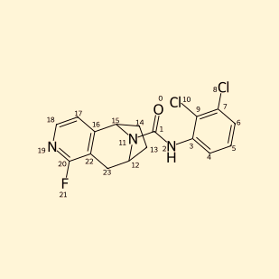 O=C(Nc1cccc(Cl)c1Cl)N1C2CCC1c1ccnc(F)c1C2